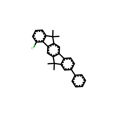 CC1(C)c2cc(-c3ccccc3)ccc2-c2cc3c(cc21)-c1c(Cl)cccc1C3(C)C